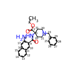 CCOC(=O)C1(NC(=O)c2cc3ccccc3cc2N)CCN(Cc2ccccc2)CC1